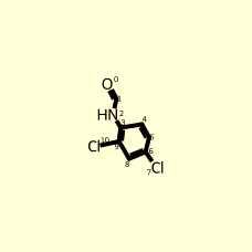 O=[C]Nc1ccc(Cl)cc1Cl